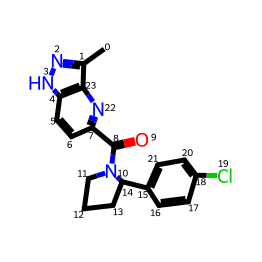 Cc1n[nH]c2ccc(C(=O)N3CCCC3c3ccc(Cl)cc3)nc12